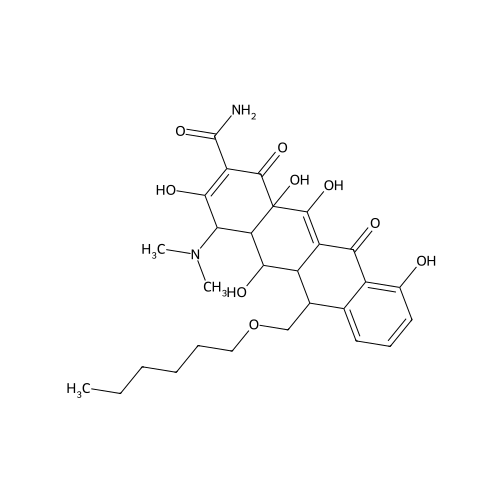 CCCCCCOCC1c2cccc(O)c2C(=O)C2=C(O)C3(O)C(=O)C(C(N)=O)=C(O)C(N(C)C)C3C(O)C21